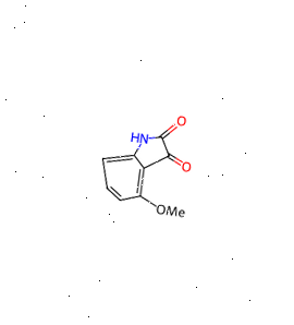 COc1cccc2c1C(=O)C(=O)N2